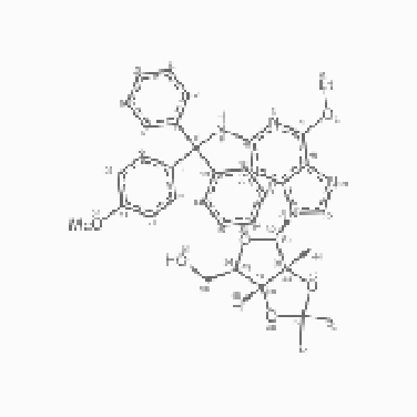 CCOc1nc(NC(c2ccccc2)(c2ccccc2)c2ccc(OC)cc2)nc2c1ncn2[C@@H]1O[C@H](CO)[C@H]2OC(C)(C)O[C@]21C